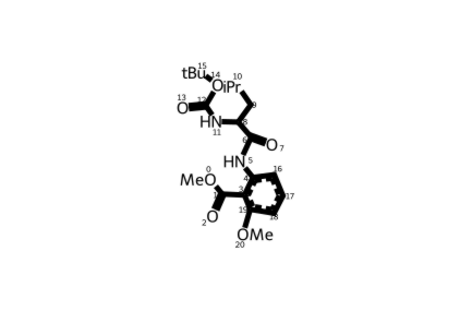 COC(=O)c1c(NC(=O)C(CC(C)C)NC(=O)OC(C)(C)C)cccc1OC